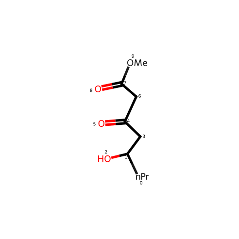 CCCC(O)CC(=O)CC(=O)OC